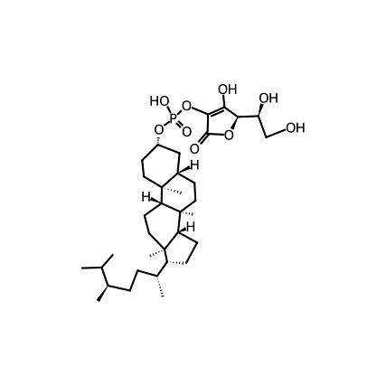 CC(C)[C@H](C)CC[C@@H](C)[C@H]1CC[C@H]2[C@]3(C)CC[C@H]4C[C@@H](OP(=O)(O)OC5=C(O)[C@@H]([C@@H](O)CO)OC5=O)CC[C@]4(C)[C@H]3CC[C@@]21C